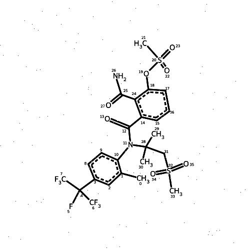 Cc1cc(C(F)(C(F)(F)F)C(F)(F)F)ccc1N(C(=O)c1cccc(OS(C)(=O)=O)c1C(N)=O)C(C)(C)CS(C)(=O)=O